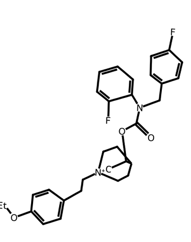 CCOc1ccc(CC[N+]23CCC(CC2)C(OC(=O)N(Cc2ccc(F)cc2)c2ccccc2F)C3)cc1